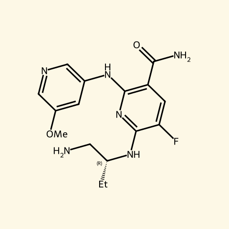 CC[C@H](CN)Nc1nc(Nc2cncc(OC)c2)c(C(N)=O)cc1F